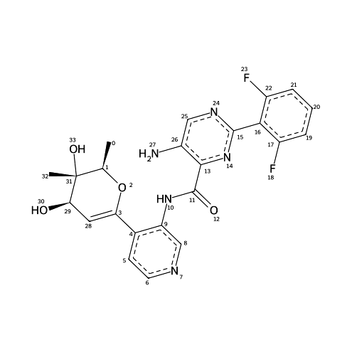 C[C@H]1OC(c2ccncc2NC(=O)c2nc(-c3c(F)cccc3F)ncc2N)=C[C@@H](O)[C@]1(C)O